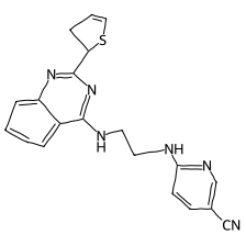 N#Cc1ccc(NCCNc2nc(C3CC=CS3)nc3ccccc23)nc1